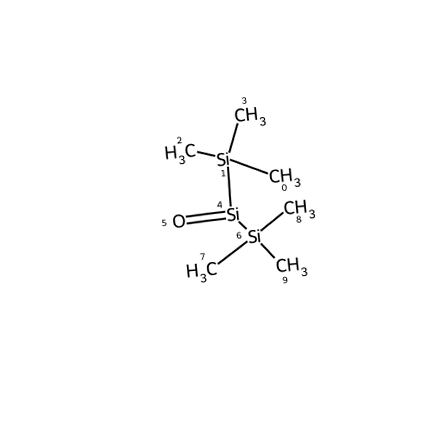 C[Si](C)(C)[Si](=O)[Si](C)(C)C